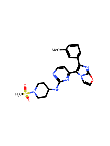 COc1cccc(-c2nc3occn3c2-c2ccnc(NC3CCN(S(C)(=O)=O)CC3)n2)c1